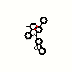 CC1C=CC=CC1c1ccccc1N(c1ccc(-c2ccccc2)cc1)c1ccc2c(c1)oc1ccccc12